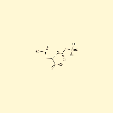 O=C(O)CC(OC(=O)CP(=O)(O)O)C(=O)O